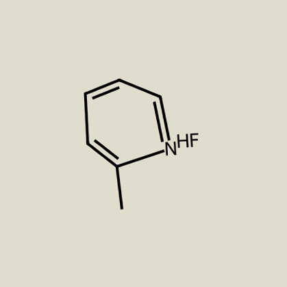 Cc1ccccn1.F